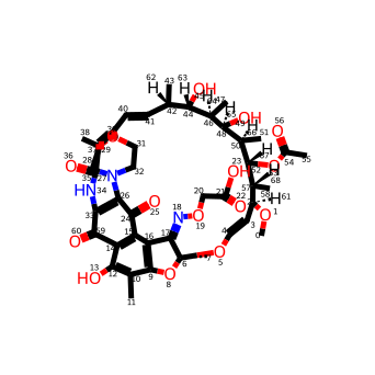 CO[C@H]1/C=C/O[C@@]2(C)Oc3c(C)c(O)c4c(c3/C2=N/OCC(=O)O)C(=O)C(N2CCOCC2)=C(NC(=O)/C(C)=C\C=C\[C@H](C)[C@H](O)[C@@H](C)[C@@H](O)[C@@H](C)[C@H](OC(C)=O)[C@@H]1C)C4=O